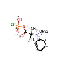 CON(c1ccccc1)C(C)(C)C(=O)OP(=O)(O)Cl